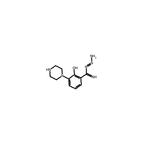 N=C(N=NN)c1cccc(N2CCNCC2)c1O